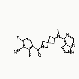 CN(c1ncnc2[nH]ccc12)C1CC2(C1)CN(C(=O)c1ccc(F)c(C#N)c1F)C2